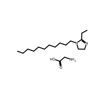 CCCCCCCCCCCN1CCN=C1CC.NCC(=O)O